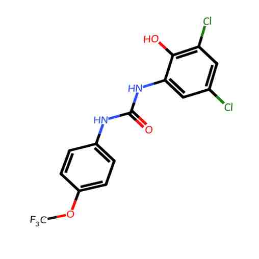 O=C(Nc1ccc(OC(F)(F)F)cc1)Nc1cc(Cl)cc(Cl)c1O